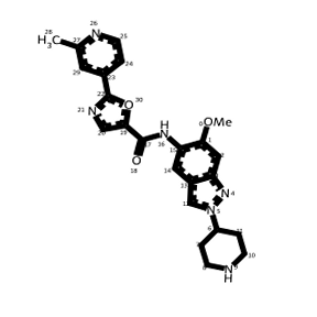 COc1cc2nn(C3CCNCC3)cc2cc1NC(=O)c1cnc(-c2ccnc(C)c2)o1